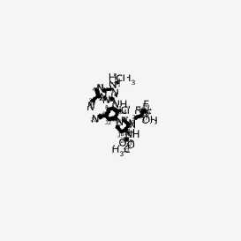 CCNc1nc(Nc2cc(C#N)cc(N3CC[C@@H](NC(=O)OC)[C@H](NCC(O)C(F)(F)F)C3)c2Cl)nn2c(C#N)cnc12